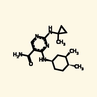 C[C@@H]1CC[C@@H](Nc2nc(NC3(C)CC3)ncc2C(N)=O)C[C@H]1C